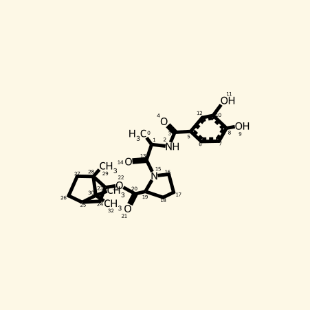 CC(NC(=O)c1ccc(O)c(O)c1)C(=O)N1CCCC1C(=O)OC1CC2CCC1(C)C2(C)C